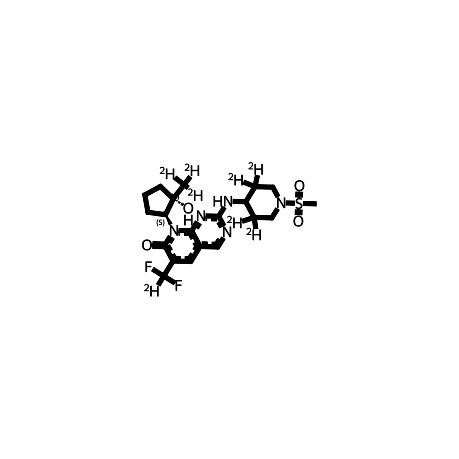 [2H]C(F)(F)c1cc2cnc(NC3C([2H])([2H])CN(S(C)(=O)=O)CC3([2H])[2H])nc2n([C@H]2CCC[C@@]2(O)C([2H])([2H])[2H])c1=O